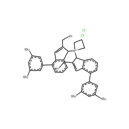 CC(C)CC1=Cc2c(-c3cc(C(C)(C)C)cc(C(C)(C)C)c3)cccc2[CH]1[Hf+2]1([CH]2C(CC(C)C)=Cc3c(-c4cc(C(C)(C)C)cc(C(C)(C)C)c4)cccc32)[CH2]C[CH2]1.[Cl-].[Cl-]